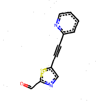 O=Cc1ncc(C#Cc2ccccn2)s1